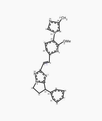 COc1nc(/C=C/c2nc3n(n2)CCC3c2ccccc2)ccc1-n1cnc(C)c1